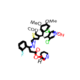 COc1ccc([C@H](Cc2c(Cl)c[n+](O)cc2Cl)c2cc(CNC(CC(=O)O[C@H]3CN4CCC3CC4)c3ccccc3F)sc2C(=O)[O-])cc1OC